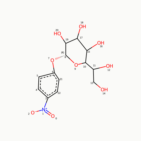 O=[N+]([O-])c1ccc(O[C@H]2OC(C(O)CO)C(O)C(O)C2O)cc1